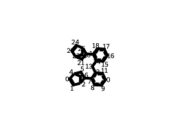 C1=CC2CC1CC2c1ccccc1Cc1ccccc1C1CC2C=CC1C2